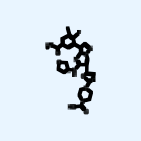 CNC(=O)c1cc(C)c(F)c(-c2cnn3cc(-c4cnc(N5CCN(C(=O)O)CC5)o4)c(N[C@H]4CCOC4)nc23)c1